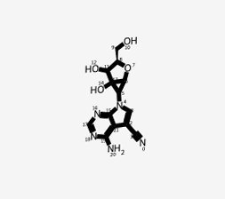 N#Cc1cn(C2C3O[C@H](CO)C(O)C32O)c2ncnc(N)c12